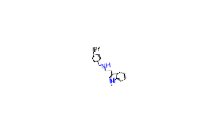 CC(C)c1ccc(CNCCc2cn(C)c3ccccc23)cc1